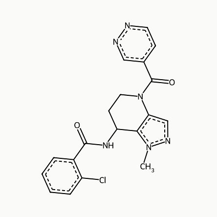 Cn1ncc2c1C(NC(=O)c1ccccc1Cl)CCN2C(=O)c1ccnnc1